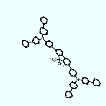 CC1(C)c2cc(-c3ccc(N(c4ccc(-c5ccccc5)cc4)c4ccc(-c5ccccc5)cc4)cc3)ccc2-c2ccc(-c3ccc(N(c4ccc(-c5ccccc5)cc4)c4ccc(-c5ccccc5)cc4)cc3)cc21